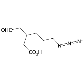 [N-]=[N+]=NCCCC(CC=O)CC(=O)O